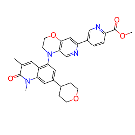 COC(=O)c1ccc(-c2cc3c(cn2)N(c2cc(C4CCOCC4)cc4c2cc(C)c(=O)n4C)CCO3)cn1